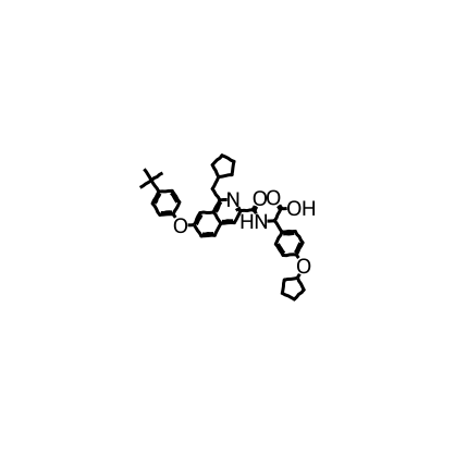 CC(C)(C)c1ccc(Oc2ccc3cc(C(=O)NC(C(=O)O)c4ccc(OC5CCCC5)cc4)nc(CC4CCCC4)c3c2)cc1